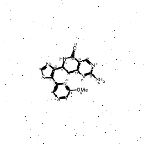 COc1cncc(-c2scnc2C2Cc3nc(N)ncc3C(=O)N2)n1